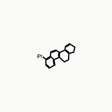 CC(C)c1cccc2c3c(ccc12)C1=C(CCC=C1)CC3